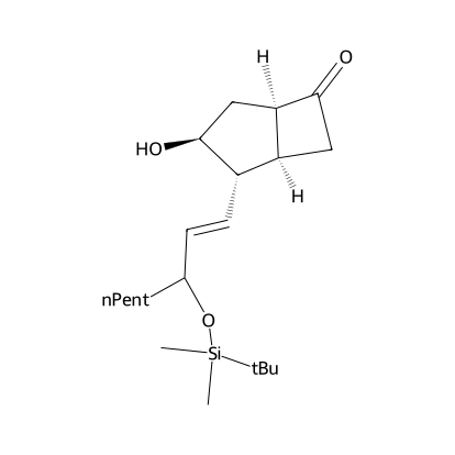 CCCCCC(/C=C/[C@H]1[C@@H]2CC(=O)[C@@H]2C[C@@H]1O)O[Si](C)(C)C(C)(C)C